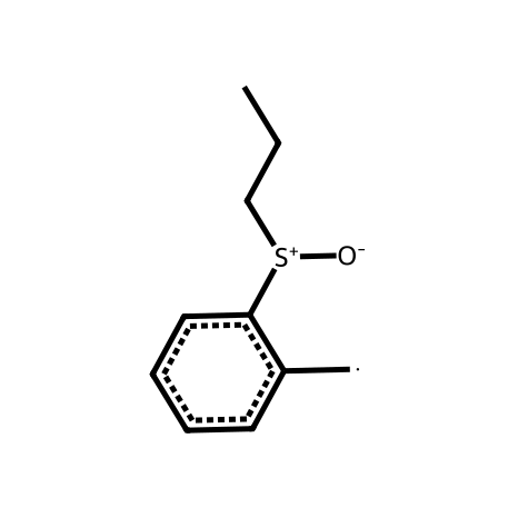 [CH2]c1ccccc1[S+]([O-])CCC